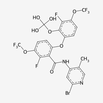 Cc1cnc(Br)cc1NC(=O)c1c(Oc2ccc(OC(F)(F)F)c(F)c2OC(O)(O)O)ccc(OC(F)(F)F)c1F